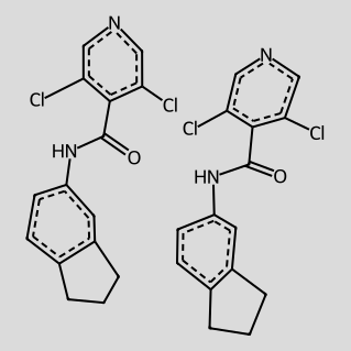 O=C(Nc1ccc2c(c1)CCC2)c1c(Cl)cncc1Cl.O=C(Nc1ccc2c(c1)CCC2)c1c(Cl)cncc1Cl